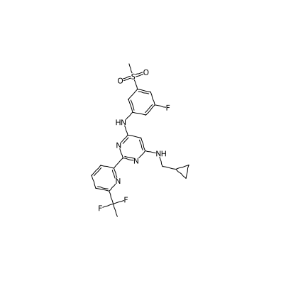 CC(F)(F)c1cccc(-c2nc(NCC3CC3)cc(Nc3cc(F)cc(S(C)(=O)=O)c3)n2)n1